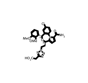 COc1cccc([C@H]2O[C@H](CCn3nnc(CC(=O)O)n3)c3ccc(C(N)=O)n3-c3ccc(Cl)cc32)c1OC